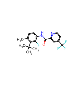 Cc1ccc(NC(=O)c2cc(C(F)(F)F)ccn2)c(F)c1C(C)(C)C